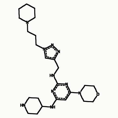 c1c(NC2CCNCC2)nc(NCc2cn(CCCN3CCCCC3)nn2)nc1N1CCOCC1